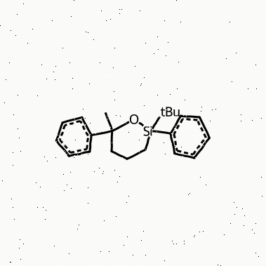 CC1(c2ccccc2)CCC[Si](c2ccccc2)(C(C)(C)C)O1